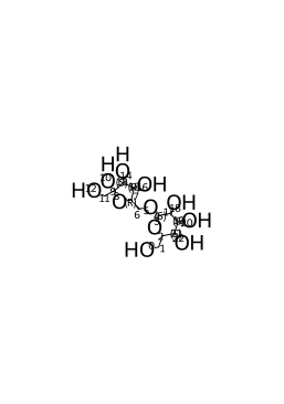 OCC1O[C@H](OC[C@H]2OC(O)(CO)[C@@H](O)[C@H]2O)C(O)[C@@H](O)[C@@H]1O